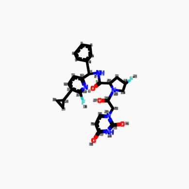 O=C(NC(c1ccccc1)c1ccc(C2CC2)c(F)n1)C1CC(F)CN1C(=O)Cn1ccc(=O)[nH]c1=O